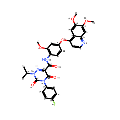 COc1cc(Oc2ccnc3cc(OC)c(OC)cc23)ccc1NC(=O)c1nn(C(C)C)c(=O)n(-c2ccc(F)cc2)c1=O